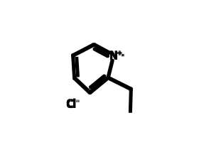 CCC1=CC=CC=[N+]1.[Cl-]